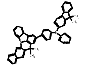 CC1(C)c2ccccc2-c2ccc(N(c3ccccc3)c3ccc(-c4cc5c6c(c4)c4ccccc4n6-c4cc6ccccc6cc4C5(C)C)cc3)cc21